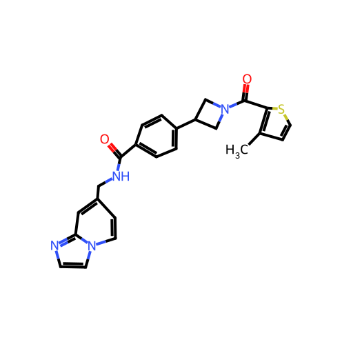 Cc1ccsc1C(=O)N1CC(c2ccc(C(=O)NCc3ccn4ccnc4c3)cc2)C1